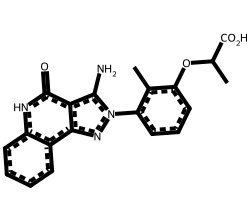 Cc1c(OC(C)C(=O)O)cccc1-n1nc2c(c1N)c(=O)[nH]c1ccccc12